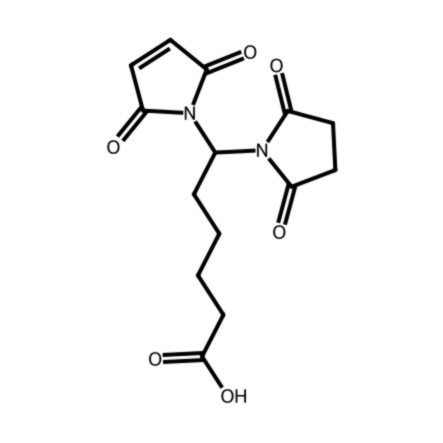 O=C(O)CCCCC(N1C(=O)C=CC1=O)N1C(=O)CCC1=O